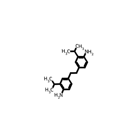 CC(C)c1cc(CCc2ccc(N)c(C(C)C)c2)ccc1N